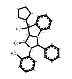 Cc1ccccc1N1C(c2ccccc2)N2c3ccccc3C(C)(C3CCCC3)C2[C@@H]1C